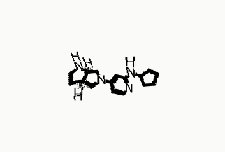 c1cc(N2C[C@H]3CCN[C@H]3C2)cc(NC2CCCC2)n1